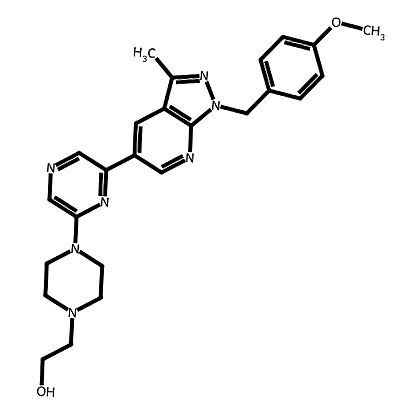 COc1ccc(Cn2nc(C)c3cc(-c4cncc(N5CCN(CCO)CC5)n4)cnc32)cc1